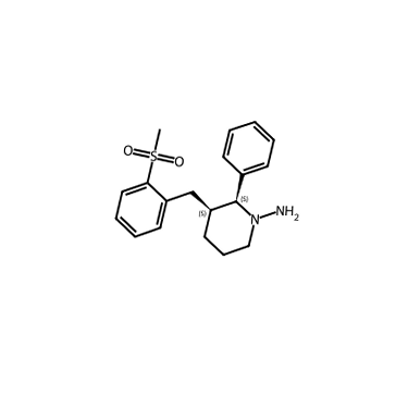 CS(=O)(=O)c1ccccc1C[C@@H]1CCCN(N)[C@@H]1c1ccccc1